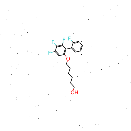 OCCCCCCOc1cc(F)c(F)c(F)c1-c1ccccc1F